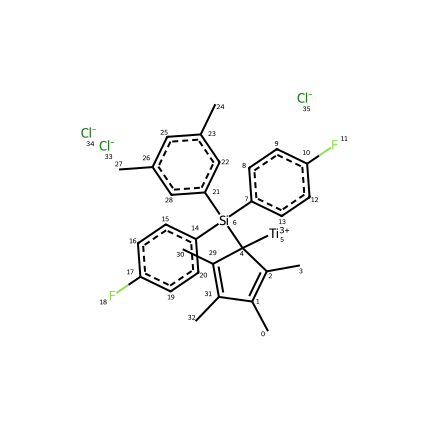 CC1=C(C)[C]([Ti+3])([Si](c2ccc(F)cc2)(c2ccc(F)cc2)c2cc(C)cc(C)c2)C(C)=C1C.[Cl-].[Cl-].[Cl-]